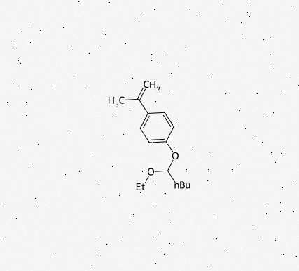 C=C(C)c1ccc(OC(CCCC)OCC)cc1